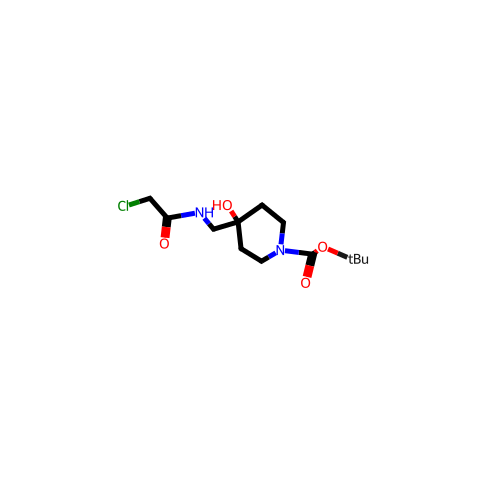 CC(C)(C)OC(=O)N1CCC(O)(CNC(=O)CCl)CC1